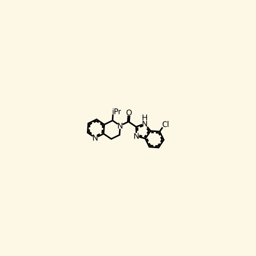 CC(C)C1c2cccnc2CCN1C(=O)c1nc2cccc(Cl)c2[nH]1